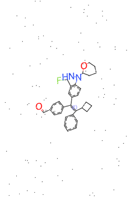 O=Cc1ccc(/C(=C(\c2ccccc2)C2CCC2)c2ccc3c(c2)C(F)NN3C2CCCCO2)cc1